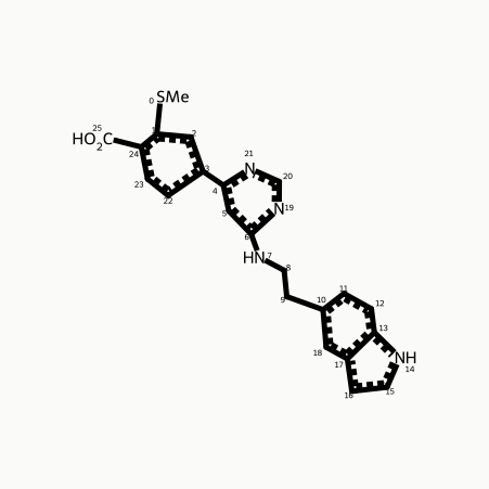 CSc1cc(-c2cc(NCCc3ccc4[nH]ccc4c3)ncn2)ccc1C(=O)O